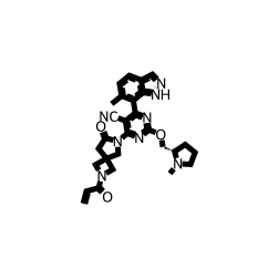 C=CC(=O)N1CC2(CC(=O)N(c3nc(OC[C@@H]4CCCN4C)nc(-c4c(C)ccc5cn[nH]c45)c3C#N)C2)C1